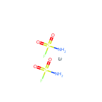 NS(=O)(=O)F.NS(=O)(=O)F.[Li]